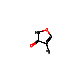 [2H]C1=COBC1=O